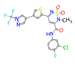 CN1C(C(=O)Nc2ccc(F)c(Cl)c2)=CC(c2cc(-c3cnn(C(F)(F)F)c3)cs2)=NS1(=O)=O